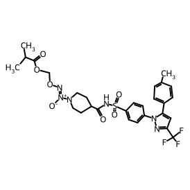 Cc1ccc(-c2cc(C(F)(F)F)nn2-c2ccc(S(=O)(=O)NC(=O)C3CCN([N+]([O-])=NOCOC(=O)C(C)C)CC3)cc2)cc1